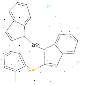 Cc1ccccc1PC1=Cc2ccccc2[CH]1[Zr+2][CH]1C=Cc2ccccc21.[F-].[F-]